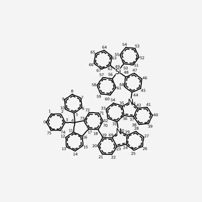 c1ccc(C2(c3ccccc3)c3ccccc3-c3c(-c4cccc5c6ccccc6n(-c6cccc7c6c6ccccc6n7-c6cccc([Si](c7ccccc7)(c7ccccc7)c7ccccc7)c6)c45)cccc32)cc1